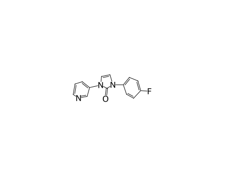 O=c1n(-c2ccc(F)cc2)ccn1-c1cccnc1